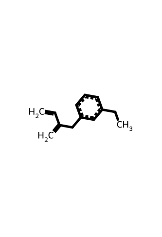 C=CC(=C)Cc1cccc(CC)c1